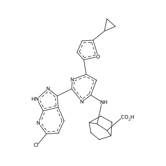 O=C(O)C1C2CCC(CC2)C1Nc1cc(-c2ccc(C3CC3)o2)nc(-c2n[nH]c3nc(Cl)ccc23)n1